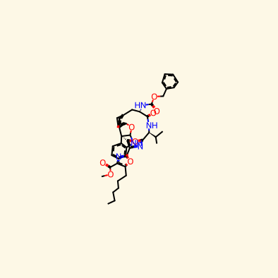 CCCCCCc1oc(-c2nc3oc2[C@@]24c5ccccc5NC2Oc2ccc(cc24)C[C@H](NC(=O)OCc2ccccc2)C(=O)N[C@H]3C(C)C)nc1C(=O)OC